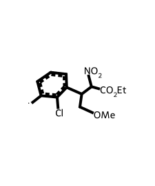 [CH2]c1cccc(C(COC)C(C(=O)OCC)[N+](=O)[O-])c1Cl